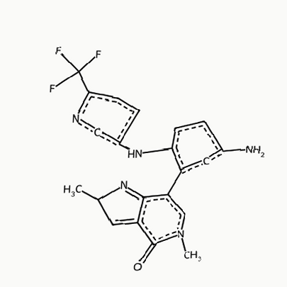 CC1C=c2c(c(-c3cc(N)ccc3Nc3ccc(C(F)(F)F)nc3)cn(C)c2=O)=N1